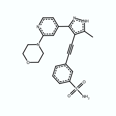 Cc1[nH]nc(-c2ccnc(N3CCOCC3)c2)c1C#Cc1cccc(S(N)(=O)=O)c1